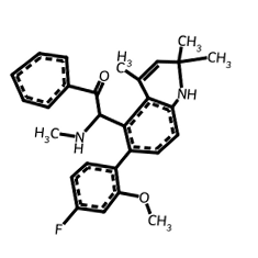 CNC(C(=O)c1ccccc1)c1c(-c2ccc(F)cc2OC)ccc2c1C(C)=CC(C)(C)N2